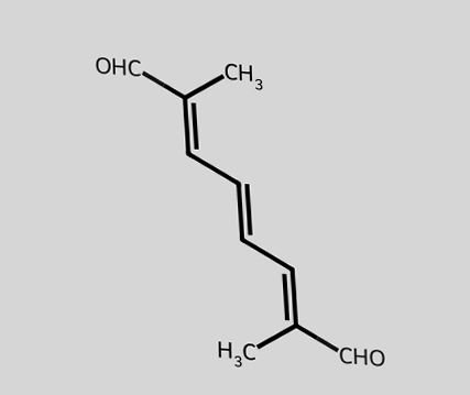 CC(C=O)=CC=C/C=C(\C)C=O